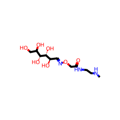 CNCCNC(=O)CO/N=C/[C@@H](O)[C@@H](O)[C@H](O)C(O)CO